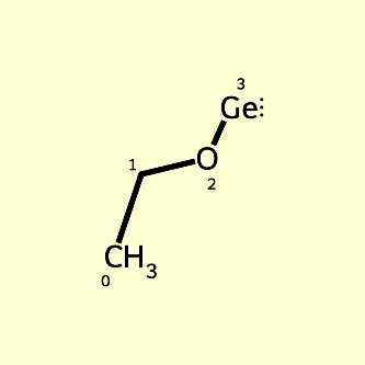 CC[O][Ge]